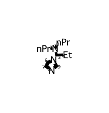 CCCN(CCC)C(CC)n1ccnc1